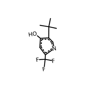 CC(C)(C)c1cnc(C(F)(F)F)cc1O